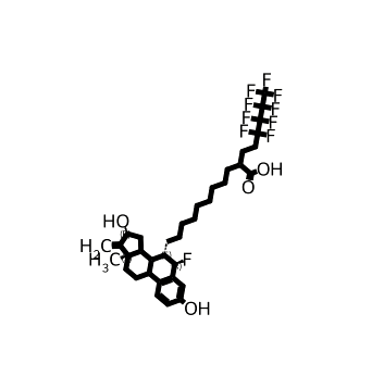 C=C1[C@H](O)CC2C3C(CC[C@]12C)c1ccc(O)cc1[C@H](F)[C@H]3CCCCCCCCCC(CCC(F)(F)C(F)(F)C(F)(F)C(F)(F)F)C(=O)O